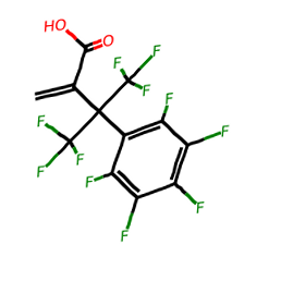 C=C(C(=O)O)C(c1c(F)c(F)c(F)c(F)c1F)(C(F)(F)F)C(F)(F)F